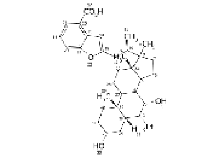 CC[C@H]1[C@@H](O)C2C3CCC(C)([C@H](C)Cc4cc5c(C(=O)O)cccc5o4)[C@@]3(C)CCC2[C@@]2(C)CC[C@@H](O)C[C@@H]12